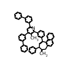 C=C1Cc2ccc3ccccc3c2C(c2cccc(-c3nc(-c4cccc(-c5ccccc5)c4)cc(-c4cccc(-c5ccccc5)c4)c3C)c2)=CC1c1ccccc1